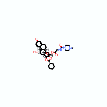 CN1CCN(C(=O)NCC(=O)OCC(=O)[C@@]23O[C@H](C4CCCCC4)O[C@@H]2C[C@H]2[C@@H]4CCC5=CC(=O)C=C[C@]5(C)[C@H]4[C@@H](O)C[C@@]23C)CC1